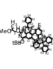 CO[C@@H](C)COc1nc(OC(C)(C)C)c2cc(C3CC3)c(-c3c(C)c(F)cc4nn(C(c5ccccc5)(c5ccccc5)c5ccccc5)cc34)c(O[C@@H](C)c3ccccc3)c2n1